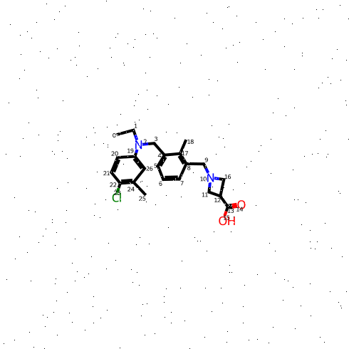 CCN(Cc1cccc(CN2CC(C(=O)O)C2)c1C)c1ccc(Cl)c(C)c1